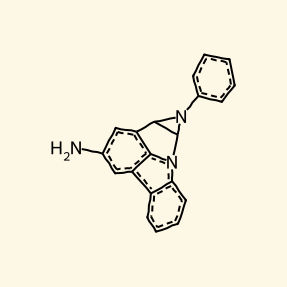 Nc1cc2c3c(c1)c1ccccc1n3C1C2N1c1ccccc1